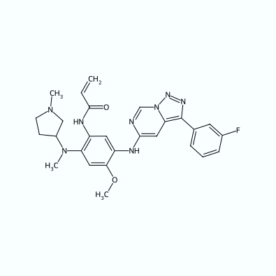 C=CC(=O)Nc1cc(Nc2cc3c(-c4cccc(F)c4)nnn3cn2)c(OC)cc1N(C)C1CCN(C)C1